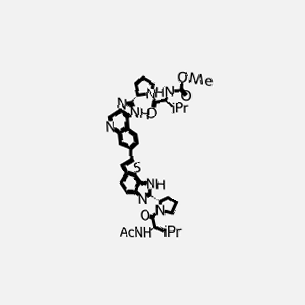 COC(=O)N[C@H](C(=O)N1CCC[C@H]1c1nc2cnc3cc(-c4cc5ccc6nc([C@@H]7CCCN7C(=O)[C@@H](NC(C)=O)C(C)C)[nH]c6c5s4)ccc3c2[nH]1)C(C)C